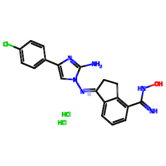 Cl.Cl.N=C(NO)c1cccc2c1CC/C2=N\n1cc(-c2ccc(Cl)cc2)nc1N